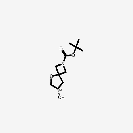 CC(C)(C)OC(=O)N1CC2(C[C@H](O)CO2)C1